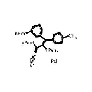 CCCCCCc1cccc(C(=C(CCCCC)C(=C=[N+]=[N-])CCCCC)c2ccc(C)cc2)c1.[Pd]